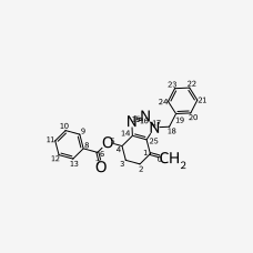 C=C1CCC(OC(=O)c2ccccc2)c2nnn(Cc3ccccc3)c21